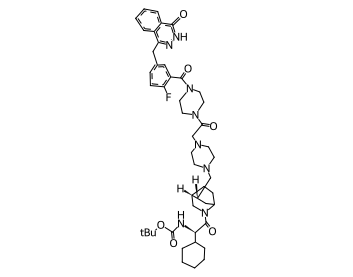 CC(C)(C)OC(=O)N[C@@H](C(=O)N1C[C@@H]2CCC1C[C@H]2CN1CCN(CC(=O)N2CCN(C(=O)c3cc(Cc4n[nH]c(=O)c5ccccc45)ccc3F)CC2)CC1)C1CCCCC1